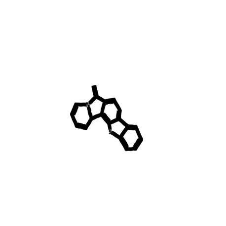 C=C1c2ccc3c(sc4ccccc43)c2C2C=CC=CN12